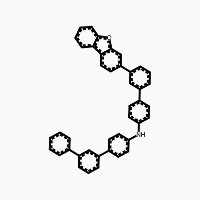 c1ccc(-c2cccc(-c3ccc(Nc4ccc(-c5cccc(-c6ccc7c(c6)oc6ccccc67)c5)cc4)cc3)c2)cc1